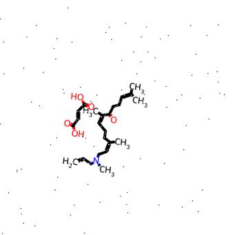 C=CCN(C)CC=C(C)CCC=C(C)C(=O)CCC=C(C)C.O=C(O)C=CC(=O)O